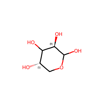 OC1OC[C@H](O)C(O)[C@H]1O